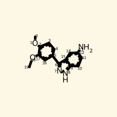 COc1ccc(-c2n[nH]c3ccc(N)cc23)cc1OC